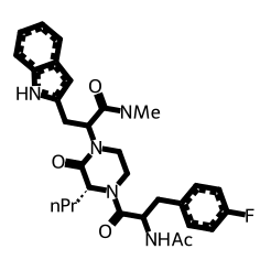 CCC[C@@H]1C(=O)N(C(Cc2cc3ccccc3[nH]2)C(=O)NC)CCN1C(=O)C(Cc1ccc(F)cc1)NC(C)=O